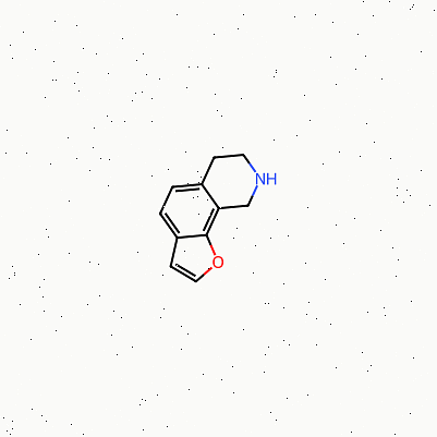 c1cc2ccc3c(c2o1)CNCC3